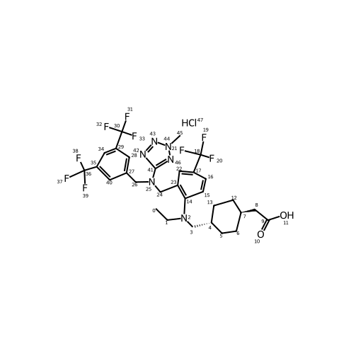 CCN(C[C@H]1CC[C@H](CC(=O)O)CC1)c1ccc(C(F)(F)F)cc1CN(Cc1cc(C(F)(F)F)cc(C(F)(F)F)c1)c1nnn(C)n1.Cl